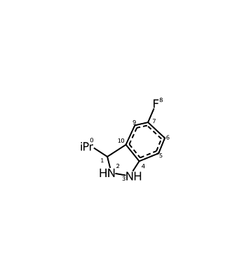 CC(C)C1NNc2ccc(F)cc21